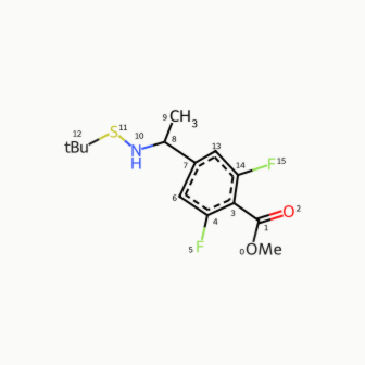 COC(=O)c1c(F)cc(C(C)NSC(C)(C)C)cc1F